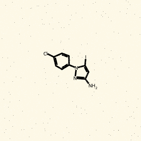 Nc1cc(I)n(-c2ccc(Cl)cc2)n1